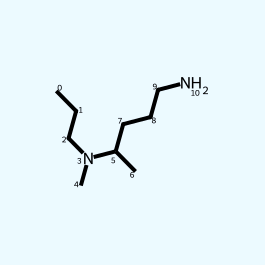 CCCN(C)C(C)CCCN